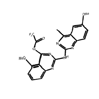 COc1ccc2nc(Nc3nc(OC(=O)C(F)(F)F)c4c(OC)cccc4n3)nc(C)c2c1